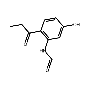 CCC(=O)c1ccc(O)cc1NC=O